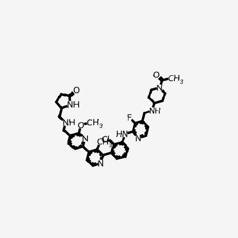 COc1nc(-c2ccnc(-c3cccc(Nc4nccc(CNC5CCN(C(C)=O)CC5)c4F)c3Cl)c2C)ccc1CNCC1CCC(=O)N1